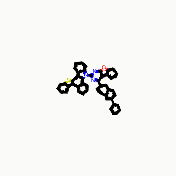 c1ccc(-c2ccc3cc(-c4nc(-n5c6ccccc6c6c7sc8ccccc8c7c7ccccc7c65)nc5oc6ccccc6c45)ccc3c2)cc1